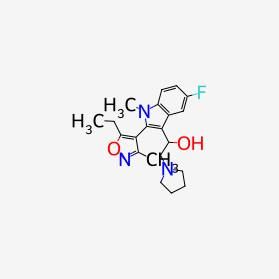 CCc1onc(C)c1-c1c(C(O)CN2CCCC2)c2cc(F)ccc2n1C